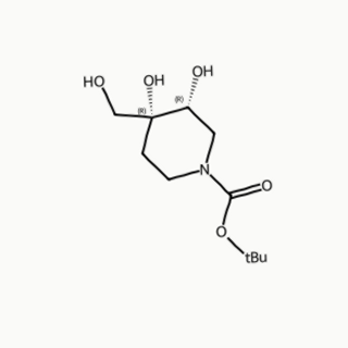 CC(C)(C)OC(=O)N1CC[C@@](O)(CO)[C@H](O)C1